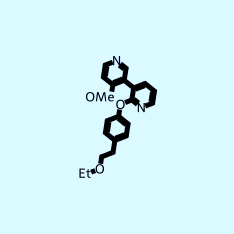 CCOCCc1ccc(Oc2ncccc2-c2cnccc2OC)cc1